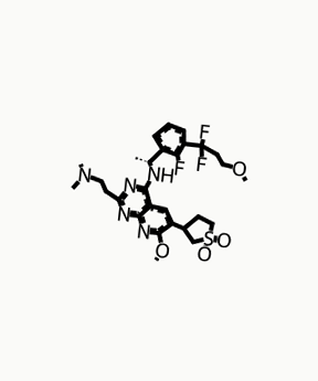 COCCC(F)(F)c1cccc([C@@H](C)Nc2nc(CCN(C)C)nc3nc(OC)c(C4CCS(=O)(=O)C4)cc23)c1F